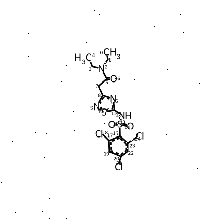 CCN(CC)C(=O)Cc1nsc(NS(=O)(=O)c2c(Cl)cc(Cl)cc2Cl)n1